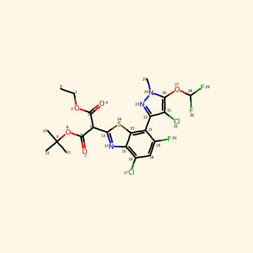 CCOC(=O)C(C(=O)OC(C)(C)C)c1nc2c(Cl)cc(F)c(-c3nn(C)c(OC(F)F)c3Cl)c2s1